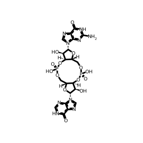 Nc1nc2c(ncn2[C@@H]2O[C@@H]3COP(=O)(O)O[C@H]4[C@@H](O)[C@H](n5cnc6c(=O)[nH]cnc65)O[C@@H]4COP(=O)(O)O[C@H]3[C@H]2O)c(=O)[nH]1